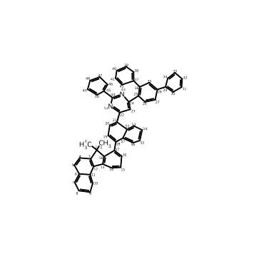 CC1(C)c2ccc3ccccc3c2-c2cccc(-c3ccc(-c4cc(-c5ccc(-c6ccccc6)cc5-c5ccccc5)nc(-c5ccccc5)n4)c4ccccc34)c21